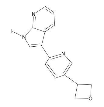 In1cc(-c2ccc(C3COC3)cn2)c2cccnc21